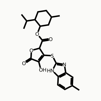 Cc1ccc2[nH]c(SC3=C(O)C(=O)OC3C(=O)OC3CC(C)CCC3C(C)C)nc2c1